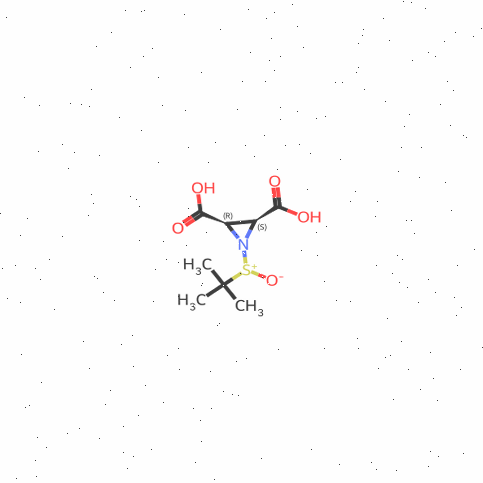 CC(C)(C)[S+]([O-])N1[C@H](C(=O)O)[C@@H]1C(=O)O